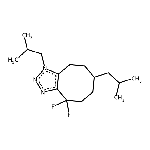 CC(C)CC1CCc2c(nnn2CC(C)C)C(F)(F)CC1